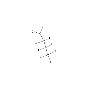 F[C](Cl)C(F)(F)C(F)(F)C(F)(F)F